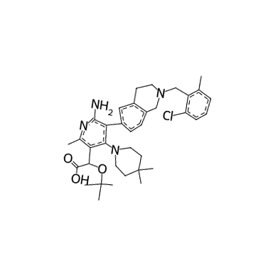 Cc1cccc(Cl)c1CN1CCc2cc(-c3c(N)nc(C)c(C(OC(C)(C)C)C(=O)O)c3N3CCC(C)(C)CC3)ccc2C1